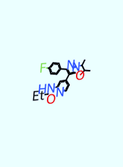 CCC(=O)Nc1cc(-c2c(-c3ccc(F)cc3)nn3c2OC(C)C3C)ccn1